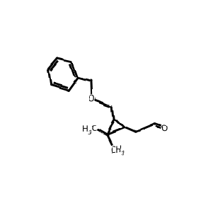 CC1(C)C(CC=O)C1COCc1ccccc1